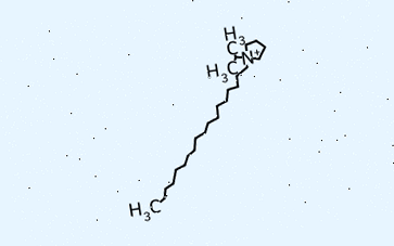 CCCCCCCCCCCCCCCCCC[N+]1(C(C)C)CCCC1